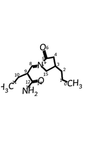 CCCC1CC(=O)/[N+](=C/C(CC)C(N)=O)C1